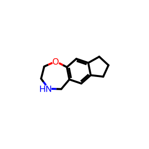 c1c2c(cc3c1CNCCO3)CCC2